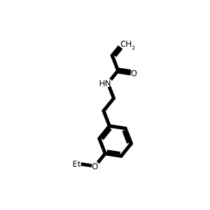 C=CC(=O)NCCc1cccc(OCC)c1